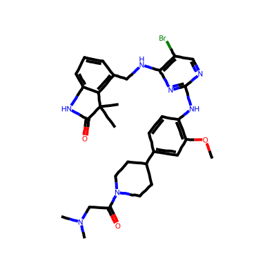 COc1cc(C2CCN(C(=O)CN(C)C)CC2)ccc1Nc1ncc(Br)c(NCc2cccc3c2C(C)(C)C(=O)N3)n1